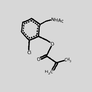 C=C(C)C(=O)Oc1c(Cl)cccc1NC(C)=O